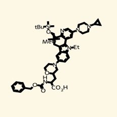 CCn1c(-c2cc(N3CCN(C4CC4)CC3)cnc2[C@H](C)OC)c(CC(C)(C)CO[Si](C)(C)C(C)(C)C)c2cc(N3CCOC(CC(NC(=O)OCc4ccccc4)C(=O)O)C3)ccc21